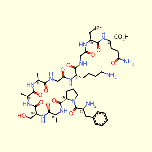 CC(C)C[C@H](NC(=O)CNC(=O)[C@H](CCCCN)NC(=O)CNC(=O)[C@H](C)NC(=O)[C@H](C)NC(=O)[C@H](CO)NC(=O)[C@H](C)NC(=O)[C@@H]1CCCN1C(=O)[C@@H](N)Cc1ccccc1)C(=O)N[C@@H](CCC(N)=O)C(=O)O